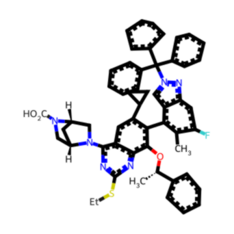 CCSc1nc(N2C[C@@H]3C[C@H]2CN3C(=O)O)c2cc(C3CC3)c(-c3c(C)c(F)cc4nn(C(c5ccccc5)(c5ccccc5)c5ccccc5)cc34)c(O[C@@H](C)c3ccccc3)c2n1